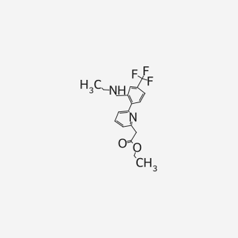 CCNCc1cc(C(F)(F)F)ccc1-c1cccc(CC(=O)OCC)n1